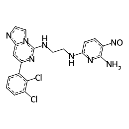 Nc1nc(NCCNc2nc(-c3cccc(Cl)c3Cl)cc3nccn23)ccc1N=O